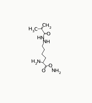 C=C(C)C(=O)NNCCCCC(N)C(=O)ON